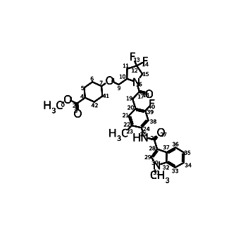 COC(=O)C1CCC(OCC2CC(F)(F)CN2C(=O)Cc2cc(C)c(NC(=O)c3cn(C)c4ccccc34)cc2F)CC1